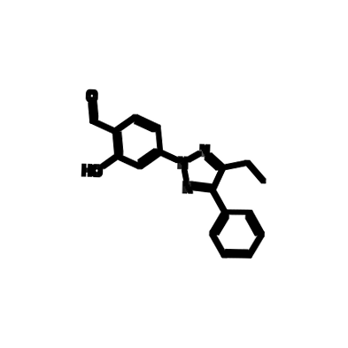 CCc1nn(-c2ccc(C=O)c(O)c2)nc1-c1ccccc1